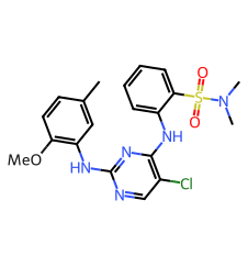 COc1ccc(C)cc1Nc1ncc(Cl)c(Nc2ccccc2S(=O)(=O)N(C)C)n1